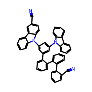 N#Cc1ccc2c(c1)c1ccccc1n2-c1cc(-c2ccccc2-c2ccccc2-c2ccccc2C#N)cc(-n2c3ccccc3c3ccccc32)c1